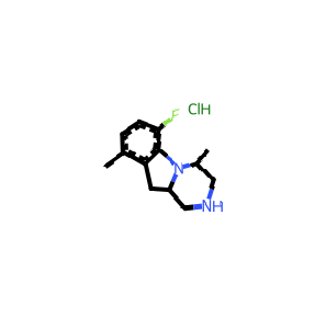 Cc1ccc(F)c2c1CC1CNCC(C)N21.Cl